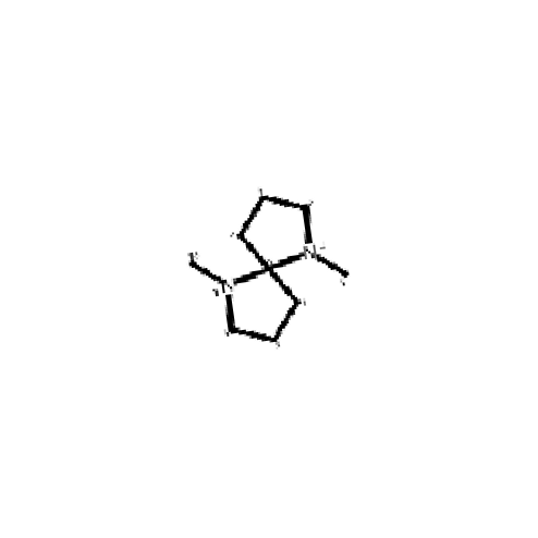 CN1CCCC12CCCN2C